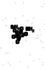 [BiH3].[O]=[Ta](=[O])(=[O])(=[O])=[O].[SrH2]